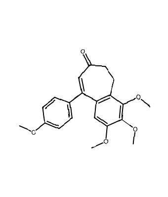 COc1ccc(C2=CC(=O)CCc3c2cc(OC)c(OC)c3OC)cc1